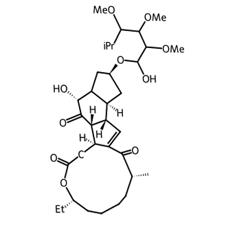 CC[C@H]1CCCC[C@@H](C)C(=O)C2=C[C@@H]3[C@@H](C(=O)[C@H](O)C4C[C@@H](OC(O)C(OC)C(OC)C(OC)C(C)C)C[C@H]43)[C@@H]2CC(=O)O1